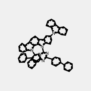 c1ccc(-c2ccc(-c3nc(-c4ccccc4)nc(-n4c5ccc(-n6c7ccccc7c7ccccc76)cc5c5ccc6c7ccccc7n(-c7ccccc7-c7ccccc7)c6c54)n3)cc2)cc1